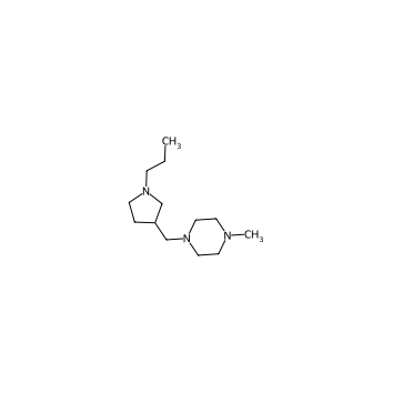 CCCN1CCC(CN2CCN(C)CC2)C1